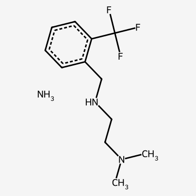 CN(C)CCNCc1ccccc1C(F)(F)F.N